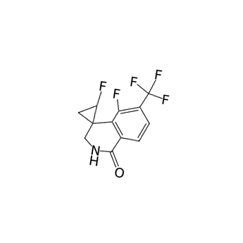 O=C1NCC2(CC2F)c2c1ccc(C(F)(F)F)c2F